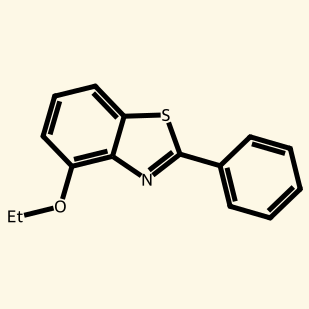 CCOc1cccc2sc(-c3ccccc3)nc12